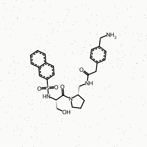 NCc1ccc(CC(=O)NC[C@@H]2CCCN2C(=O)[C@H](CO)NS(=O)(=O)c2ccc3ccccc3c2)cc1